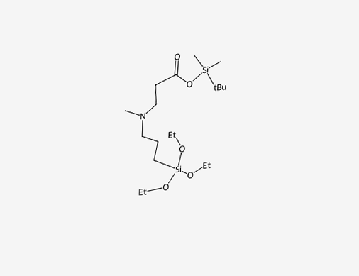 CCO[Si](CCCN(C)CCC(=O)O[Si](C)(C)C(C)(C)C)(OCC)OCC